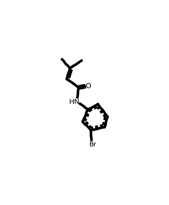 CC(C)=CC(=O)Nc1cccc(Br)c1